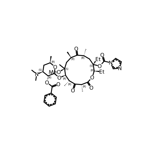 CC[C@H]1OC(=O)[C@H](C)C(=O)[C@H](C)[C@@H](OC2O[C@H](C)C[C@H](N(C)C)[C@H]2OC(=O)c2ccccc2)[C@@](C)(OC)C[C@@H](C)C(=O)[C@H](C)C[C@]1(CC)OC(=O)n1ccnc1